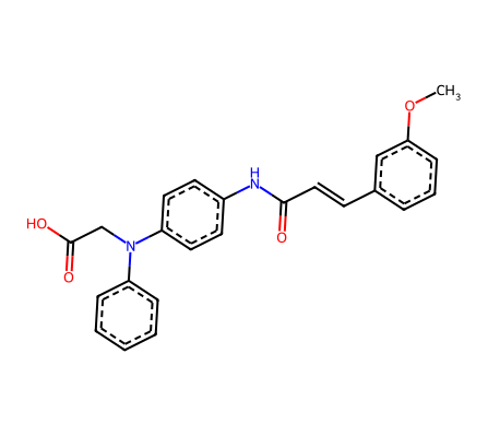 COc1cccc(/C=C/C(=O)Nc2ccc(N(CC(=O)O)c3ccccc3)cc2)c1